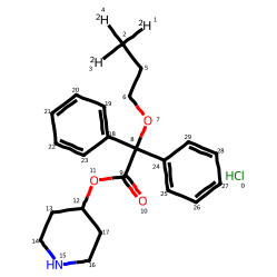 Cl.[2H]C([2H])([2H])CCOC(C(=O)OC1CCNCC1)(c1ccccc1)c1ccccc1